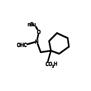 CCCCON(C=O)CC1(C(=O)O)CCCCC1